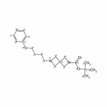 CC(C)(C)OC(=O)N1CC2(CN(CCCCSc3ccccc3)C2)C1